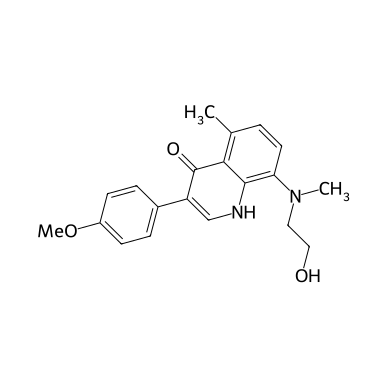 COc1ccc(-c2c[nH]c3c(N(C)CCO)ccc(C)c3c2=O)cc1